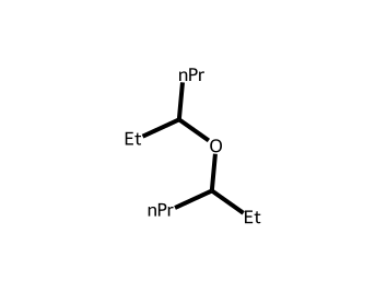 CCCC(CC)OC(CC)CCC